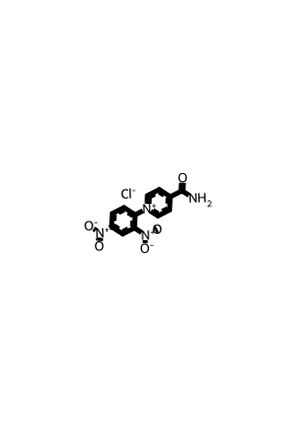 NC(=O)c1cc[n+](-c2ccc([N+](=O)[O-])cc2[N+](=O)[O-])cc1.[Cl-]